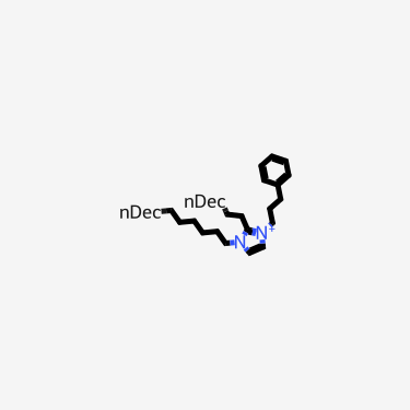 CCCCCCCCCCCCCCCCn1cc[n+](CCCc2ccccc2)c1CCCCCCCCCCCC